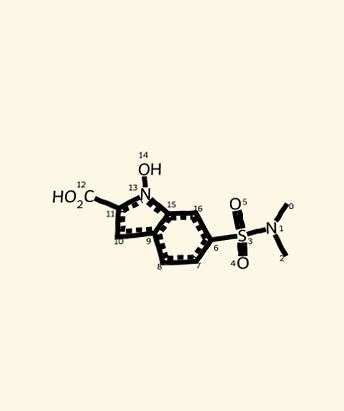 CN(C)S(=O)(=O)c1ccc2cc(C(=O)O)n(O)c2c1